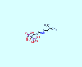 CC(C)CCNCCCC(O)(P(=O)(O)O)P(=O)(O)O